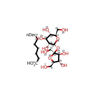 CCCCCCCCCCCCCCCC(=O)O.OC[C@H]1O[C@@](CO)(O[C@H]2O[C@H](CO)[C@@H](O)[C@H](O)[C@H]2O)[C@@H](O)[C@@H]1O